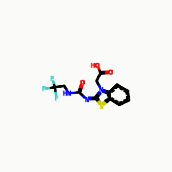 O=C(O)Cn1c(=NC(=O)NCC(F)(F)F)sc2ccccc21